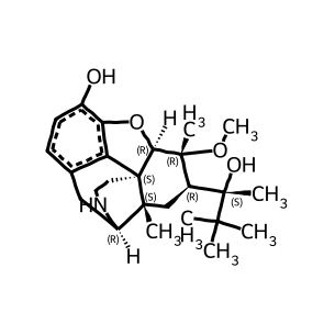 CO[C@]1(C)[C@@H]([C@](C)(O)C(C)(C)C)C[C@]2(C)[C@H]3Cc4ccc(O)c5c4[C@@]2(CCN3)[C@H]1O5